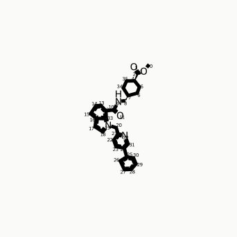 COC(=O)[C@H]1CC[C@H](CNC(=O)c2cccc3ccn(Cc4ccc(-c5ccccc5)cn4)c23)CC1